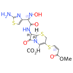 COC(=O)/C=C\SC1=C(C(=O)O)N2C(=O)[C@@H](NC(=O)/C(=N\O)c3csc(N)n3)[C@H]2SC1